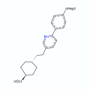 CCCCCCCC[C@H]1CC[C@H](CCc2ccc(-c3ccc(CCCCCCC)cc3)nc2)CC1